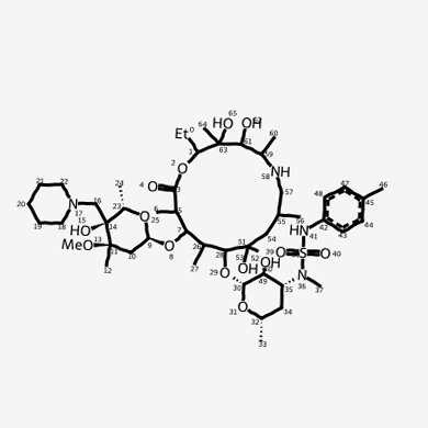 CCC1OC(=O)C(C)C(O[C@H]2C[C@@](C)(OC)[C@](O)(CN3CCCCC3)[C@H](C)O2)C(C)C(O[C@H]2O[C@@H](C)C[C@@H](N(C)S(=O)(=O)Nc3ccc(C)cc3)[C@@H]2O)C(C)(O)CC(C)CNC(C)C(O)C1(C)O